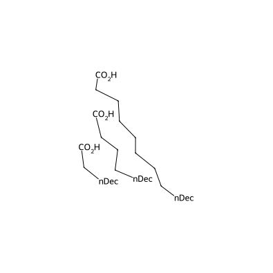 CCCCCCCCCCCC(=O)O.CCCCCCCCCCCCCC(=O)O.CCCCCCCCCCCCCCCCCC(=O)O